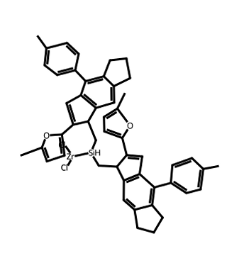 Cc1ccc(-c2c3c(cc4c2CCC4)C(C[SiH](CC2C(c4ccc(C)o4)=Cc4c2cc2c(c4-c4ccc(C)cc4)CCC2)[Zr]([Cl])[Cl])C(c2ccc(C)o2)=C3)cc1